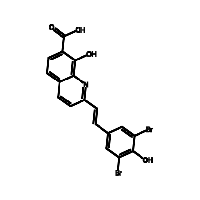 O=C(O)c1ccc2ccc(C=Cc3cc(Br)c(O)c(Br)c3)nc2c1O